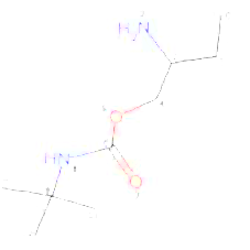 CCC(N)COC(=O)NC(C)(C)C